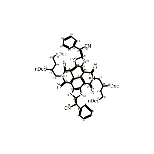 [C-]#[N+]C(c1ccccc1)=c1sc2c(s1)c1c(=O)n(CC(CCCCCCCCCC)CCCCCCCCCCCC)c(=O)c3c4sc(=C(C#N)c5ccccc5)sc4c4c(=O)n(CC(CCCCCCCCCC)CCCCCCCCCCCC)c(=O)c2c4c31